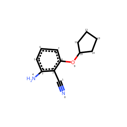 N#Cc1c(N)cccc1OC1CCCC1